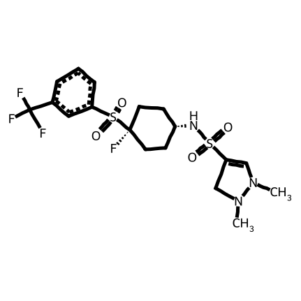 CN1C=C(S(=O)(=O)N[C@H]2CC[C@](F)(S(=O)(=O)c3cccc(C(F)(F)F)c3)CC2)CN1C